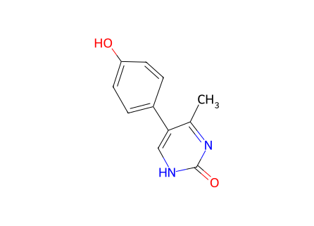 Cc1nc(=O)[nH]cc1-c1ccc(O)cc1